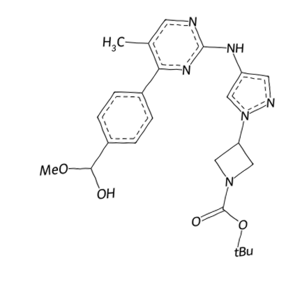 COC(O)c1ccc(-c2nc(Nc3cnn(C4CN(C(=O)OC(C)(C)C)C4)c3)ncc2C)cc1